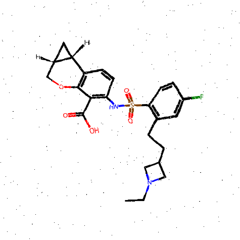 CCN1CC(CCc2cc(F)ccc2S(=O)(=O)Nc2ccc3c(c2C(=O)O)OC[C@@H]2C[C@H]32)C1